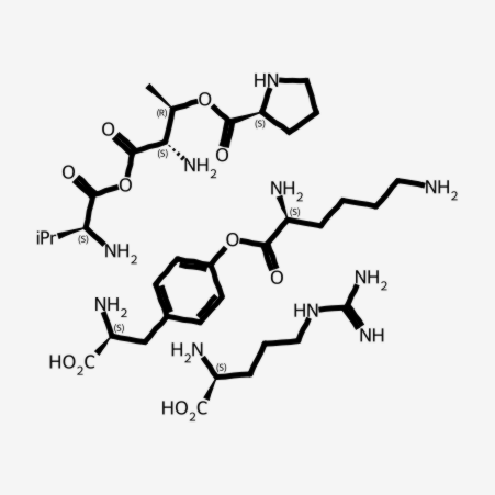 CC(C)[C@H](N)C(=O)OC(=O)[C@@H](N)[C@@H](C)OC(=O)[C@@H]1CCCN1.N=C(N)NCCC[C@H](N)C(=O)O.NCCCC[C@H](N)C(=O)Oc1ccc(C[C@H](N)C(=O)O)cc1